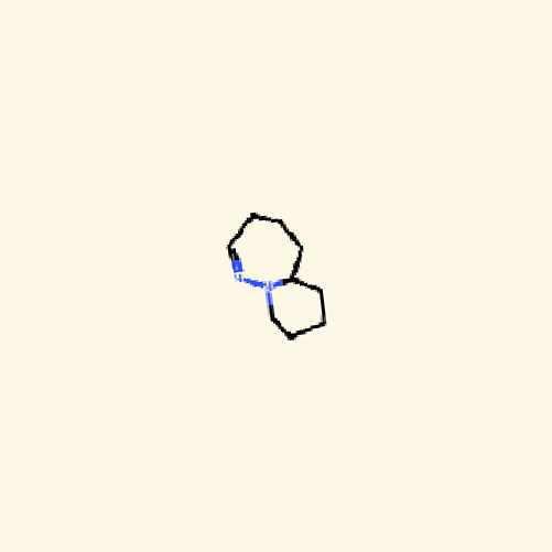 C1=NN2CCCCC2CCC1